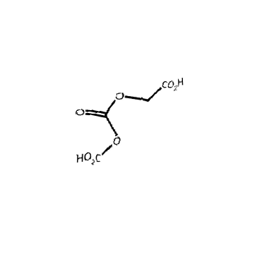 O=C(O)COC(=O)OC(=O)O